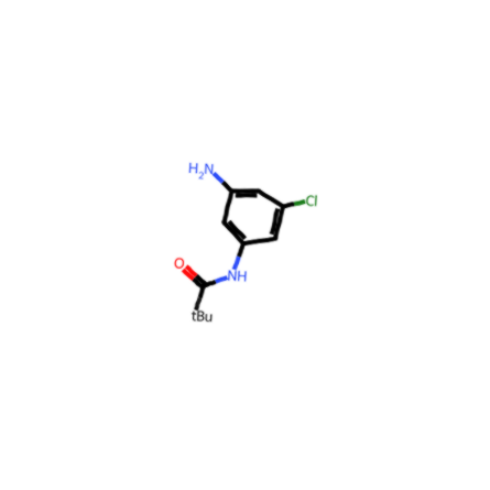 CC(C)(C)C(=O)Nc1cc(N)cc(Cl)c1